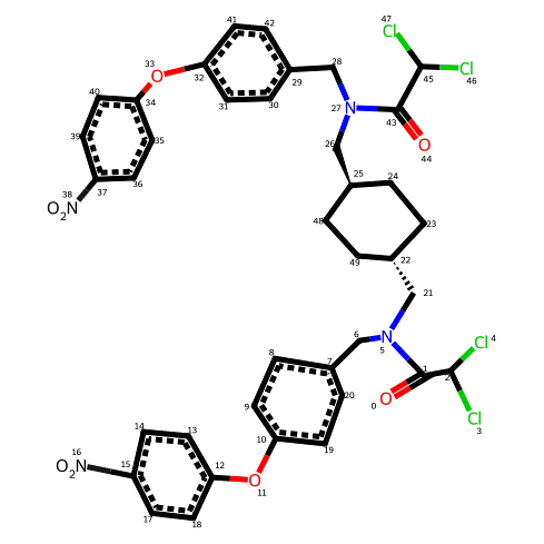 O=C(C(Cl)Cl)N(Cc1ccc(Oc2ccc([N+](=O)[O-])cc2)cc1)C[C@H]1CC[C@H](CN(Cc2ccc(Oc3ccc([N+](=O)[O-])cc3)cc2)C(=O)C(Cl)Cl)CC1